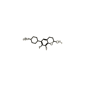 CCCCC1CCC(c2cc3c(c(F)c2F)OC(C)CC3)CC1